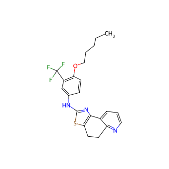 CCCCCOc1ccc(Nc2nc3c(s2)CCc2ncccc2-3)cc1C(F)(F)F